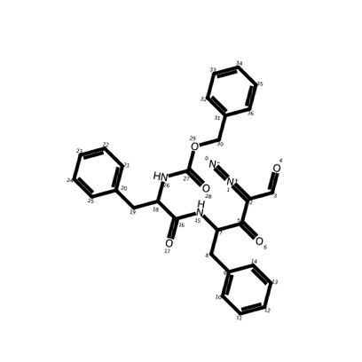 [N-]=[N+]=C(C=O)C(=O)C(Cc1ccccc1)NC(=O)C(Cc1ccccc1)NC(=O)OCc1ccccc1